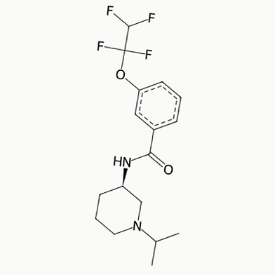 CC(C)N1CCC[C@@H](NC(=O)c2cccc(OC(F)(F)C(F)F)c2)C1